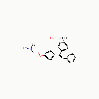 CCN(CC)CCOc1ccc(C(=Cc2ccccc2)c2ccccc2)cc1.O=S(=O)(O)O